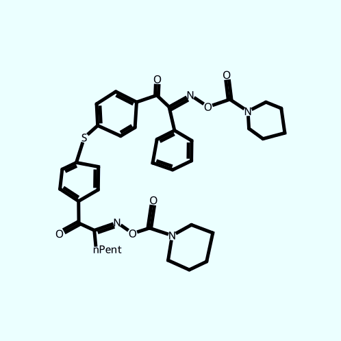 CCCCC/C(=N\OC(=O)N1CCCCC1)C(=O)c1ccc(Sc2ccc(C(=O)/C(=N/OC(=O)N3CCCCC3)c3ccccc3)cc2)cc1